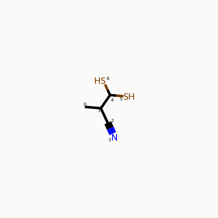 C[C](C#N)C(S)S